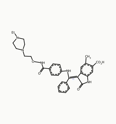 CCN1CCN(CCONC(=O)c2ccc(N/C(=C3/C(=O)Nc4cc(C(=O)O)c(C)cc43)c3ccccc3)cc2)CC1